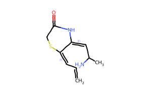 C=C/C=C1/SCC(=O)N/C1=C/C(C)N